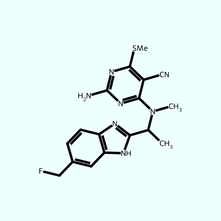 CSc1nc(N)nc(N(C)C(C)c2nc3ccc(CF)cc3[nH]2)c1C#N